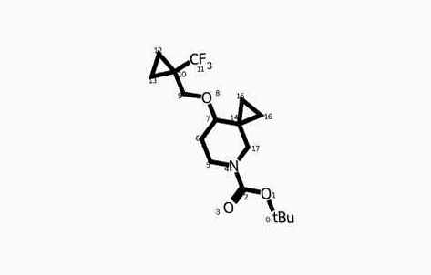 CC(C)(C)OC(=O)N1CCC(OCC2(C(F)(F)F)CC2)C2(CC2)C1